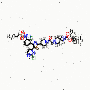 CCCS(=O)(=O)Nc1cccc(-c2nc(C3CCN(C(=O)CN4CCC5(CC4)CN(C(=O)OC(C)(C)C)C5)CC3)sc2-c2ccnc(Cl)n2)c1F